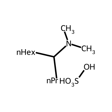 CCCCCCC(CCC)N(C)C.O=S(=O)(O)O